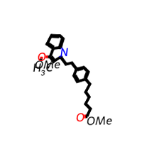 COOc1c(C)c(CCc2ccc(CCCCCC(=O)OC)cc2)nc2ccccc12